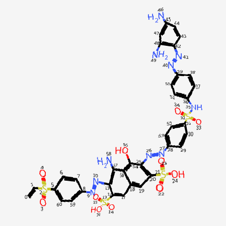 C=CS(=O)(=O)c1ccc(/N=N/c2c(S(=O)(=O)O)cc3cc(S(=O)(=O)O)c(/N=N/c4ccc(S(=O)(=O)Nc5ccc(/N=N/c6ccc(N)cc6N)cc5)cc4)c(O)c3c2N)cc1